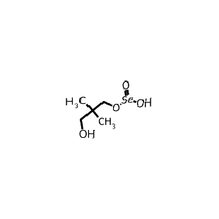 CC(C)(CO)CO[Se](=O)O